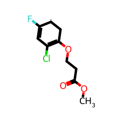 COC(=O)CCOC1=C(Cl)C=C(F)[CH]C1